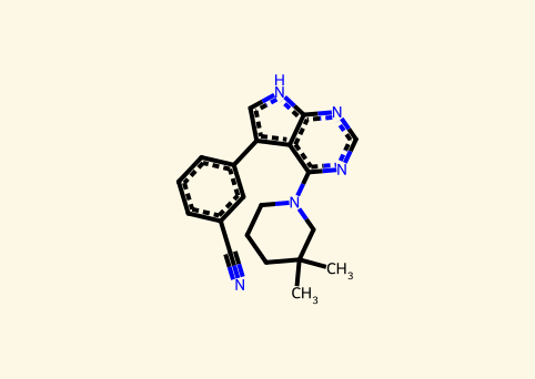 CC1(C)CCCN(c2ncnc3[nH]cc(-c4cccc(C#N)c4)c23)C1